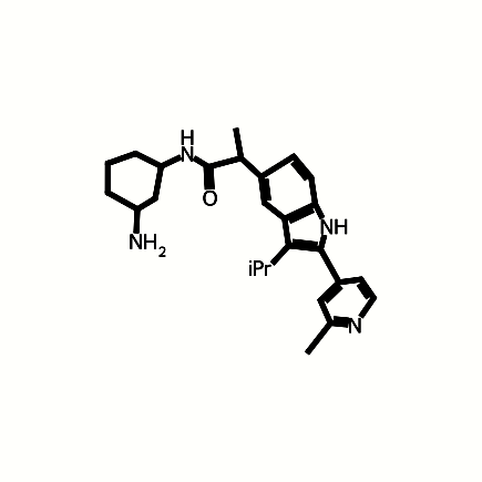 Cc1cc(-c2[nH]c3ccc(C(C)C(=O)NC4CCCC(N)C4)cc3c2C(C)C)ccn1